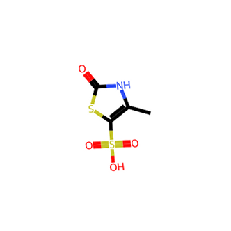 Cc1[nH]c(=O)sc1S(=O)(=O)O